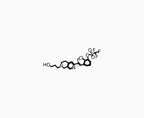 O=S(=O)(Oc1cccc(/C=C(\F)c2cc3c(cn2)CN(CCCO)CC3)c1Cl)C(F)(F)F